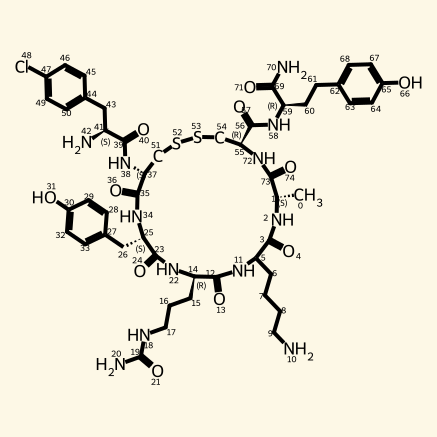 C[C@@H]1NC(=O)C(CCCCN)NC(=O)[C@@H](CCCNC(N)=O)NC(=O)[C@H](Cc2ccc(O)cc2)NC(=O)[C@H](NC(=O)[C@@H](N)Cc2ccc(Cl)cc2)CSSC[C@@H](C(=O)N[C@H](CCc2ccc(O)cc2)C(N)=O)NC1=O